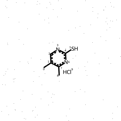 Cc1cnc(S)nc1C.Cl